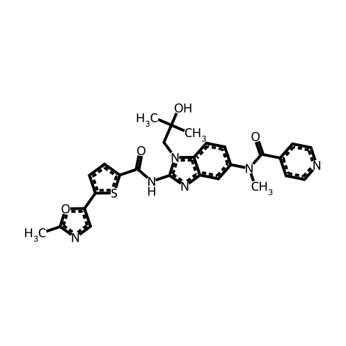 Cc1ncc(-c2ccc(C(=O)Nc3nc4cc(N(C)C(=O)c5ccncc5)ccc4n3CC(C)(C)O)s2)o1